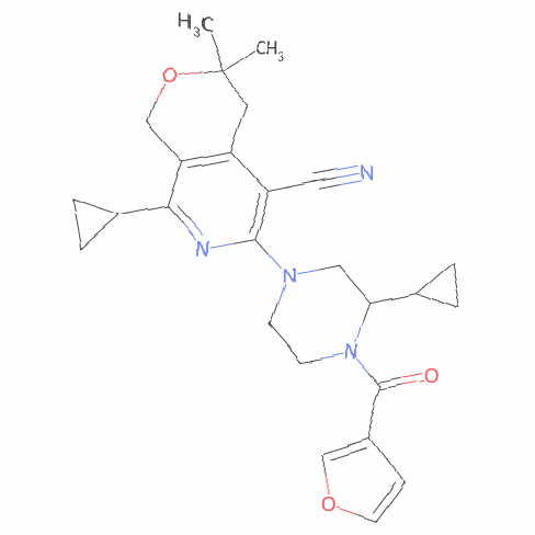 CC1(C)Cc2c(C#N)c(N3CCN(C(=O)c4ccoc4)C(C4CC4)C3)nc(C3CC3)c2CO1